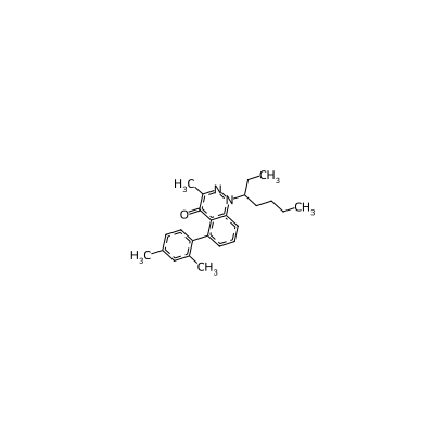 CCCCC(CC)n1nc(C)c(=O)c2c(-c3ccc(C)cc3C)cccc21